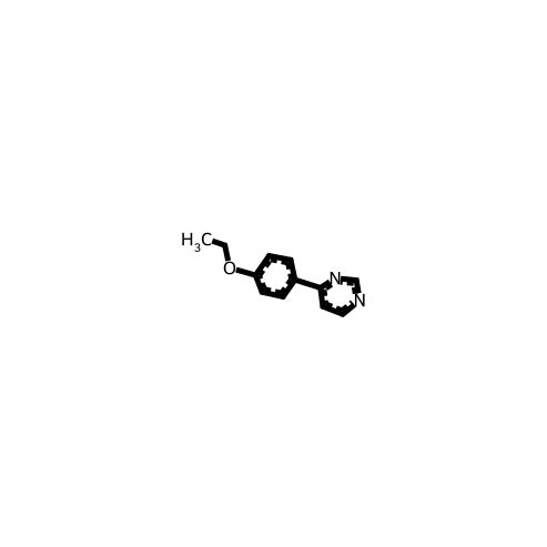 CCOc1ccc(-c2ccncn2)cc1